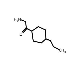 CCCC1CCC(C(=O)CN)CC1